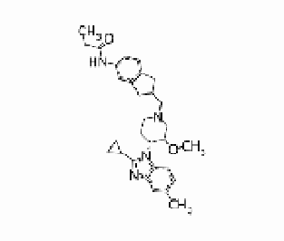 CCC(=O)Nc1ccc2c(c1)CC(CN1CC[C@@H](n3c(C4CC4)nc4cc(C)ccc43)[C@H](OC)C1)C2